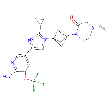 CN1CCN(C23CC(n4cc(-c5cnc(N)c(OC(F)(F)F)c5)nc4C4CC4)(C2)C3)C(=O)C1